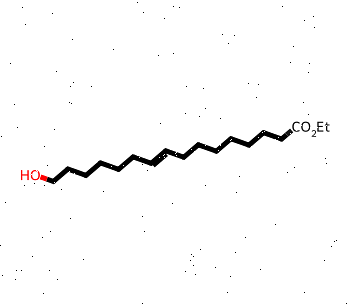 CCOC(=O)CCCCCCCC=CCCCCCCO